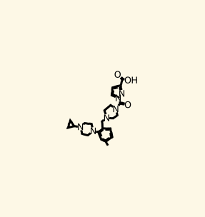 Cc1ccc(CN2CCN(C(=O)n3ccc(C(=O)O)n3)CC2)c(N2CCN(C3CC3)CC2)c1